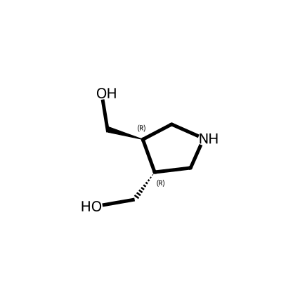 OC[C@H]1CNC[C@@H]1CO